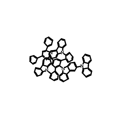 c1ccc(-c2cc(-c3ccccc3)nc(-c3cc(-c4ccccc4-n4c5ccccc5c5ccccc54)c(-n4c5ccccc5c5cc(-n6c7ccccc7c7ccccc76)ccc54)c(-c4ccccc4-n4c5ccccc5c5ccccc54)c3)n2)cc1